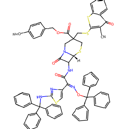 COc1ccc(COC(=O)C2(CSc3sc4ccccc4c(=O)c3C#N)CS[C@@H]3C(NC(=O)C(=NOC(c4ccccc4)(c4ccccc4)c4ccccc4)c4csc(NC(c5ccccc5)(c5ccccc5)c5ccccc5)n4)C(=O)N3C2)cc1